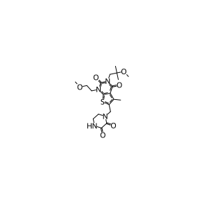 COCCn1c(=O)n(CC(C)(C)OC)c(=O)c2c(C)c(CN3CCNC(=O)C3=O)sc21